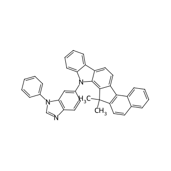 CC1(C)c2ccc3ccccc3c2-c2ccc3c4ccccc4n(-c4ccc5ncn(-c6ccccc6)c5c4)c3c21